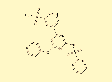 CS(=O)(=O)c1cncc(-c2cc(Oc3ccccc3)nc(NS(=O)(=O)c3ccccc3)n2)c1